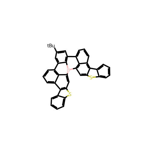 CC(C)(C)c1cc2c3c(c1)-c1cccc4c1c(cc1sc5ccccc5c14)B3c1cc3sc4ccccc4c3c3cccc-2c13